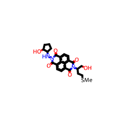 CSCCC(CO)N1C(=O)c2ccc3c4c(ccc(c24)C1=O)C(=O)N(NC1CCCC1O)C3=O